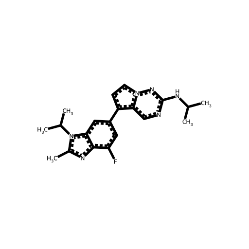 Cc1nc2c(F)cc(-c3ccn4nc(NC(C)C)ncc34)cc2n1C(C)C